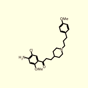 COc1ccc(CCCN2CCC(CCC(=O)c3cc(Cl)c(N)cc3OC)CC2)cc1